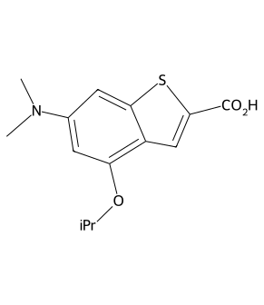 CC(C)Oc1cc(N(C)C)cc2sc(C(=O)O)cc12